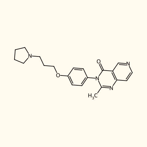 Cc1nc2ccncc2c(=O)n1-c1ccc(OCCCN2CCCC2)cc1